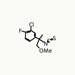 COCC(C)(N=C=S)c1ccc(F)c(Cl)c1